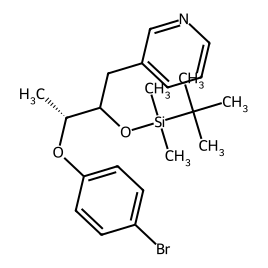 C[C@@H](Oc1ccc(Br)cc1)C(Cc1cccnc1)O[Si](C)(C)C(C)(C)C